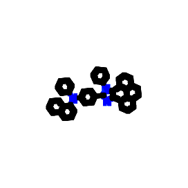 c1ccc(N(c2ccc(-c3nc4c5cccc6ccc7cccc(c7c65)c4n3-c3ccccc3)cc2)c2cccc3ccccc23)cc1